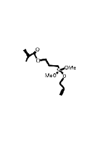 C=CCO[Si](CCCOC(=O)C(=C)C)(OC)OC